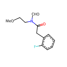 COCCN(C=O)C(=O)Cc1ccccc1F